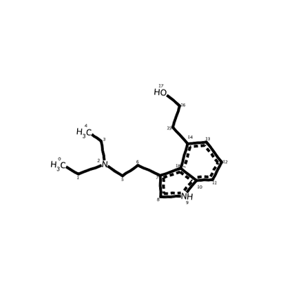 CCN(CC)CCc1c[nH]c2cccc(CCO)c12